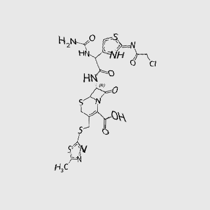 Cc1nnc(SCC2=C(C(=O)O)N3C(=O)[C@@H](NC(=O)C(NC(N)=O)c4csc(=NC(=O)CCl)[nH]4)C3SC2)s1